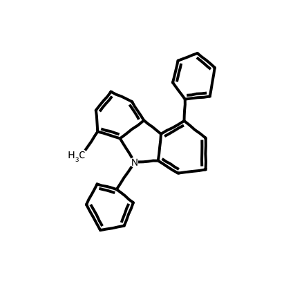 Cc1cccc2c3c(-c4ccccc4)cccc3n(-c3ccccc3)c12